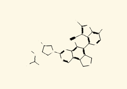 CC(C)N(C)[C@H]1CN(c2ncc3c4c(c(-c5ncc(F)c6sc(N)c(C#N)c56)c(F)c3n2)COC4)C[C@@H]1O